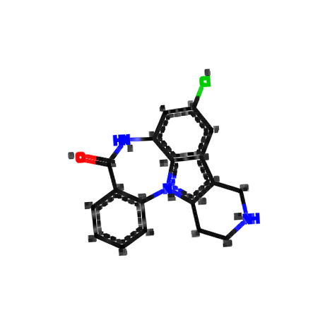 O=C1Nc2cc(Cl)cc3c4c(n(c23)-c2ccccc21)CCNC4